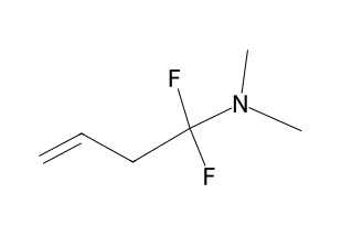 C=CCC(F)(F)N(C)C